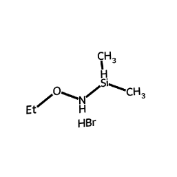 Br.CCON[SiH](C)C